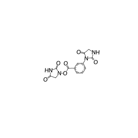 O=C1CN(OC(=O)c2cccc(N3C(=O)CNC3=O)c2)C(=O)N1